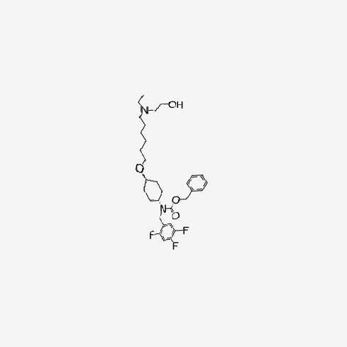 CCN(CCO)CCCCCCO[C@H]1CC[C@H](N(Cc2cc(F)c(F)cc2F)C(=O)OCc2ccccc2)CC1